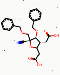 N#C[C@]1(COCc2ccccc2)OC(CC(=O)O)[C@@H](CC(=O)O)[C@@H]1OCc1ccccc1